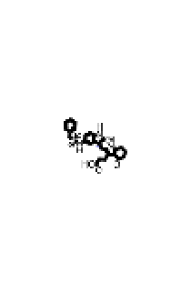 O=C(O)CCc1c(/C=C2\C(=O)Nc3ccc(NS(=O)(=O)Cc4ccccc4)cc32)[nH]c2c1C(=O)CCC2